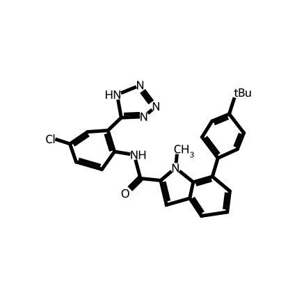 Cn1c(C(=O)Nc2ccc(Cl)cc2-c2nnn[nH]2)cc2cccc(-c3ccc(C(C)(C)C)cc3)c21